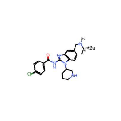 CC(=O)N(Cc1ccc2c(c1)nc(NC(=O)c1ccc(Cl)cc1)n2C1CCCNC1)[C@@H](C)C(C)(C)C